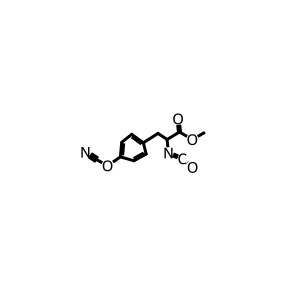 COC(=O)C(Cc1ccc(OC#N)cc1)N=C=O